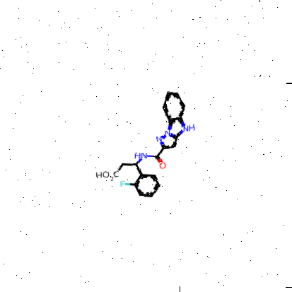 O=C(O)CC(NC(=O)c1cc2[nH]c3ccccc3n2n1)c1ccccc1F